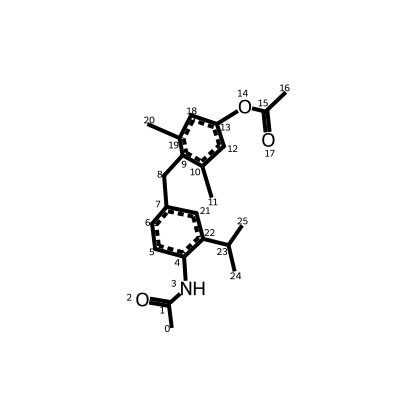 CC(=O)Nc1ccc(Cc2c(C)cc(OC(C)=O)cc2C)cc1C(C)C